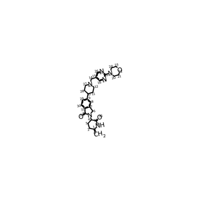 C=C1CCC(N2Cc3cc(C4CCN(Cc5cnc(N6CCOCC6)nc5)CC4)ccc3C2=O)C(=O)N1